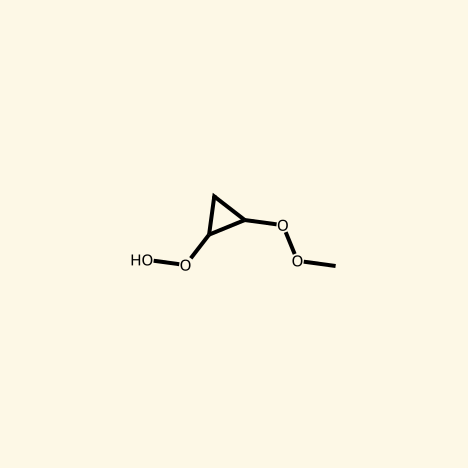 COOC1CC1OO